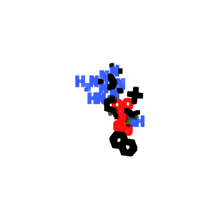 C[C@@H](NP(=O)(OC[C@@H]1CC(=N)[C@H](n2cnc3c(N(C)C)nc(N)nc32)O1)Oc1cccc2ccccc12)C(=O)OCC(C)(C)C